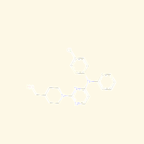 OCC1CCN(c2nccc(N(c3ccccc3)c3ccc(Cl)cc3)n2)CC1